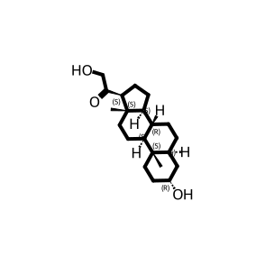 C[C@]12CC[C@@H](O)C[C@@H]1CC[C@@H]1[C@@H]2CC[C@]2(C)[C@@H](C(=O)CO)CC[C@@H]12